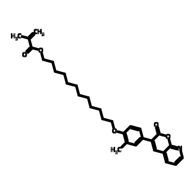 C=C(C)C(=O)OCCCCCCCCCCCCOc1ccc(-c2cc3cccnc3oc2=O)cc1C